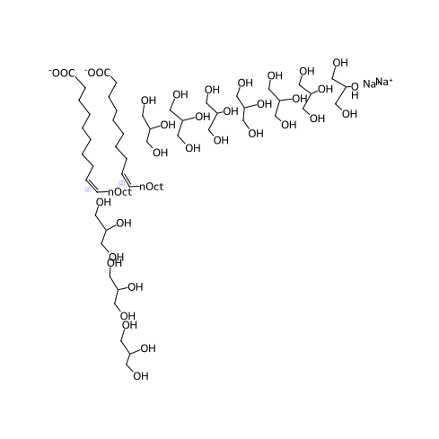 CCCCCCCC/C=C\CCCCCCCC(=O)[O-].CCCCCCCC/C=C\CCCCCCCC(=O)[O-].OCC(O)CO.OCC(O)CO.OCC(O)CO.OCC(O)CO.OCC(O)CO.OCC(O)CO.OCC(O)CO.OCC(O)CO.OCC(O)CO.OCC(O)CO.[Na+].[Na+]